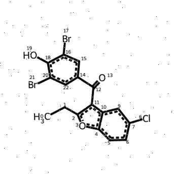 CCc1oc2ccc(Cl)cc2c1C(=O)c1cc(Br)c(O)c(Br)c1